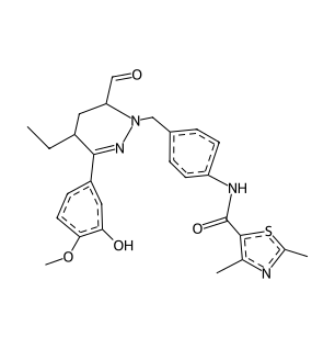 CCC1CC(C=O)N(Cc2ccc(NC(=O)c3sc(C)nc3C)cc2)N=C1c1ccc(OC)c(O)c1